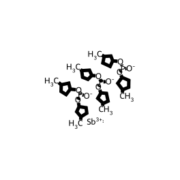 CC1CCC(OP([O-])OC2CCC(C)C2)C1.CC1CCC(OP([O-])OC2CCC(C)C2)C1.CC1CCC(OP([O-])OC2CCC(C)C2)C1.[Sb+3]